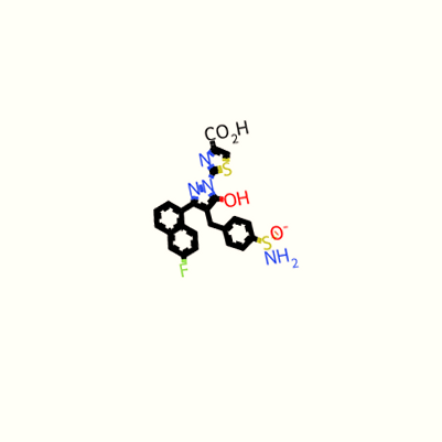 N[S+]([O-])c1ccc(Cc2c(-c3cccc4cc(F)ccc34)nn(-c3nc(C(=O)O)cs3)c2O)cc1